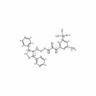 Cc1cc(NC(=S)NCCOP2N(c3ccccc3)CCN2c2ccccc2)cc(C(F)(F)F)c1